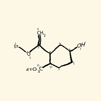 C=C(OCC)C1CC(O)CCC1C(=O)OCC